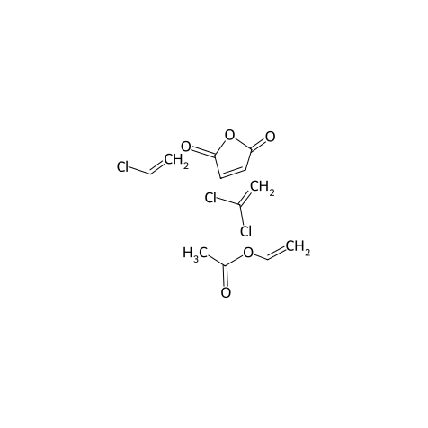 C=C(Cl)Cl.C=CCl.C=COC(C)=O.O=C1C=CC(=O)O1